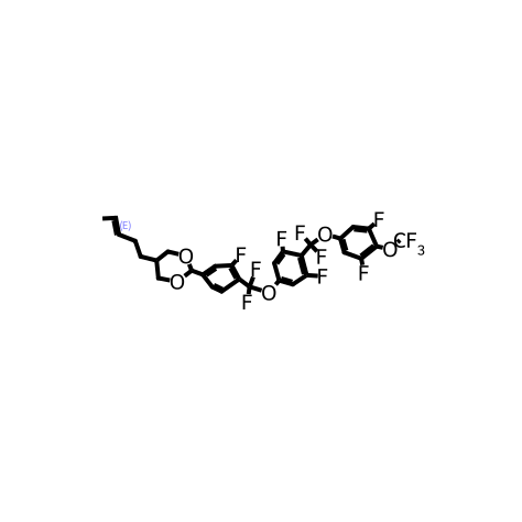 C/C=C/CCC1COC(c2ccc(C(F)(F)Oc3cc(F)c(C(F)(F)Oc4cc(F)c(OC(F)(F)F)c(F)c4)c(F)c3)c(F)c2)OC1